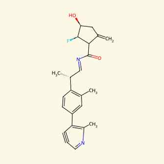 C=C1C[C@H](O)[C@H](F)C1C(=O)/N=C/[C@@H](C)c1ccc(-c2c#ccnc2C)cc1C